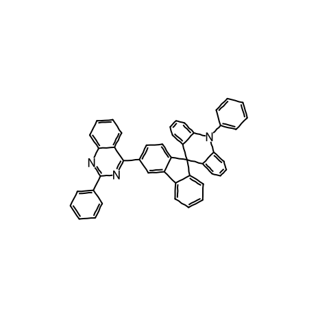 c1ccc(-c2nc(-c3ccc4c(c3)-c3ccccc3C43c4ccccc4N(c4ccccc4)c4ccccc43)c3ccccc3n2)cc1